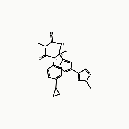 CN1C(=N)N[C@](C)(c2cc(-c3cnn(C)c3)cs2)[C@@H](c2ccc(C3CC3)cc2)C1=O